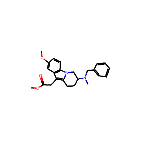 COC(=O)Cc1c2n(c3ccc(OC)cc13)CC(N(C)Cc1ccccc1)CC2